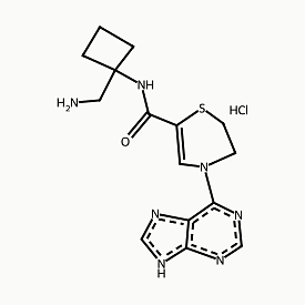 Cl.NCC1(NC(=O)C2=CN(c3ncnc4[nH]cnc34)CCS2)CCC1